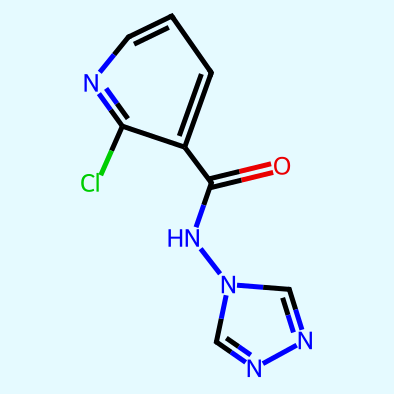 O=C(Nn1cnnc1)c1cccnc1Cl